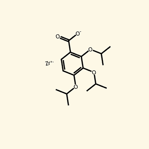 CC(C)Oc1ccc(C(=O)[O-])c(OC(C)C)c1OC(C)C.[Zr+]